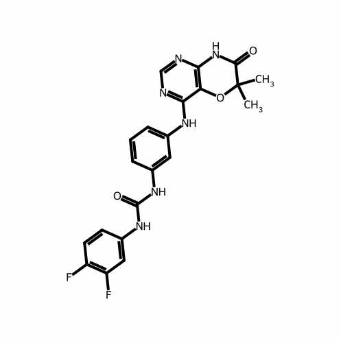 CC1(C)Oc2c(ncnc2Nc2cccc(NC(=O)Nc3ccc(F)c(F)c3)c2)NC1=O